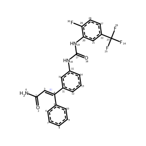 NC(=O)/C=C(\c1ccccc1)c1cccc(NC(=O)Nc2cc(C(F)(F)F)ccc2F)c1